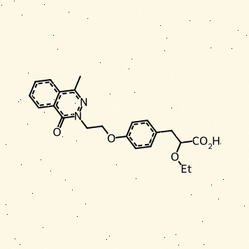 CCOC(Cc1ccc(OCCn2nc(C)c3ccccc3c2=O)cc1)C(=O)O